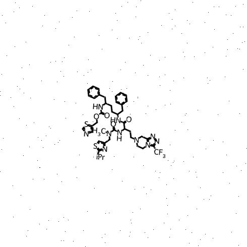 CC(C)c1nc(CN(C)C(=O)NC(CCN2CCn3c(nnc3C(F)(F)F)C2)C(=O)NC(CCC(Cc2ccccc2)NC(=O)OCc2cncs2)Cc2ccccc2)cs1